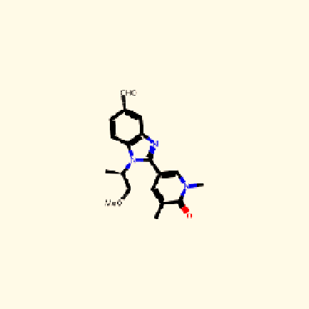 COC[C@@H](C)n1c(-c2cc(C)c(=O)n(C)c2)nc2cc(C=O)ccc21